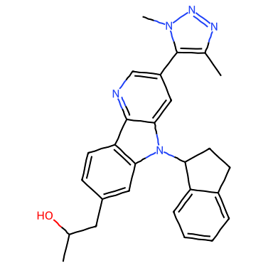 Cc1nnn(C)c1-c1cnc2c3ccc(CC(C)O)cc3n(C3CCc4ccccc43)c2c1